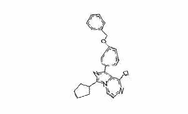 Clc1nccn2c(C3CCCC3)nc(-c3cccc(OCc4ccccc4)c3)c12